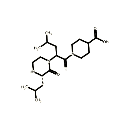 CC(C)C[C@@H]1NCCN([C@@H](CC(C)C)C(=O)N2CCC(C(=O)O)CC2)C1=O